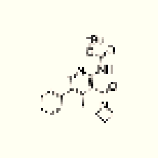 Cc1c(-c2ccccc2)[c]nc(NC(=O)OC(C)(C)C)c1C(=O)N1CCC1